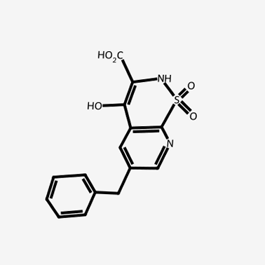 O=C(O)C1=C(O)c2cc(Cc3ccccc3)cnc2S(=O)(=O)N1